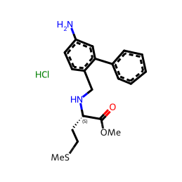 COC(=O)[C@H](CCSC)NCc1ccc(N)cc1-c1ccccc1.Cl